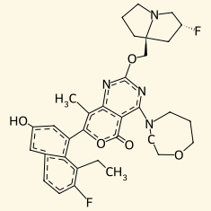 CCc1c(F)ccc2cc(O)cc(-c3oc(=O)c4c(N5CCCOCC5)nc(OC[C@@]56CCCN5C[C@H](F)C6)nc4c3C)c12